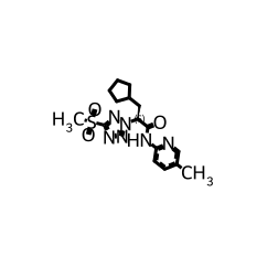 Cc1ccc(NC(=O)[C@H](CC2CCCC2)n2nnc(S(C)(=O)=O)n2)nc1